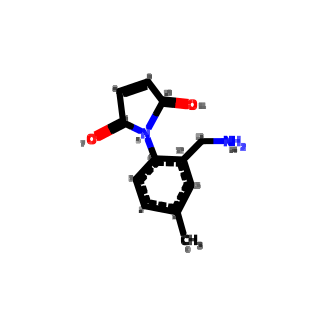 Cc1ccc(N2C(=O)C=CC2=O)c(CN)c1